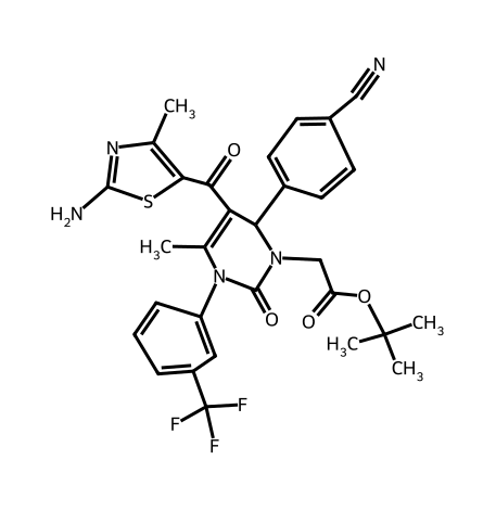 CC1=C(C(=O)c2sc(N)nc2C)C(c2ccc(C#N)cc2)N(CC(=O)OC(C)(C)C)C(=O)N1c1cccc(C(F)(F)F)c1